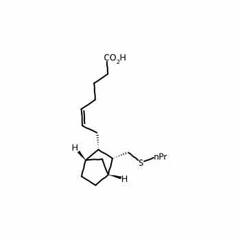 CCCSC[C@@H]1[C@@H]2CC[C@@H](C2)[C@@H]1C/C=C\CCCC(=O)O